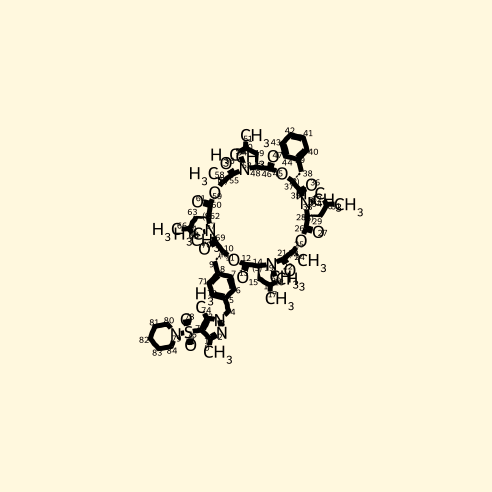 Cc1nn(Cc2ccc(C[C@H]3OC(=O)[C@H](CC(C)C)N(C)C(=O)[C@@H](C)OC(=O)[C@H](CC(C)C)N(C)C(=O)[C@@H](Cc4ccccc4)OC(=O)[C@H](CC(C)C)N(C)C(=O)[C@@H](C)OC(=O)[C@H](CC(C)C)N(C)C3=O)cc2)c(C)c1S(=O)(=O)N1CCCCC1